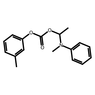 Cc1cccc(OC(=O)OC(C)N(C)c2ccccc2)c1